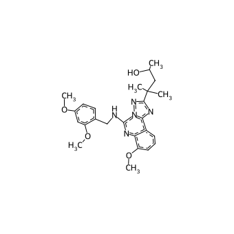 COc1ccc(CNc2nc3c(OC)cccc3c3nc(C(C)(C)CC(C)O)nn23)c(OC)c1